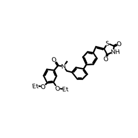 CCOc1ccc(C(=O)N(C)Cc2cccc(-c3ccc(C=C4SC(=O)NC4=O)cc3)c2)cc1OCC